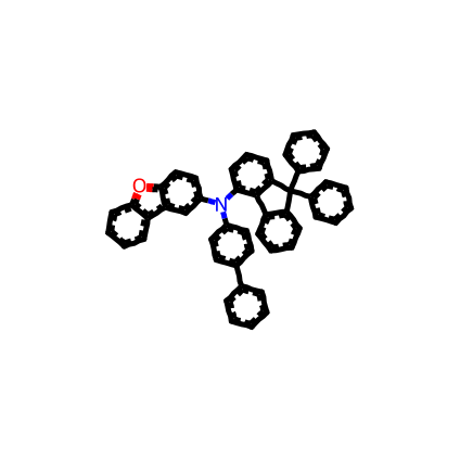 c1ccc(-c2ccc(N(c3ccc4oc5ccccc5c4c3)c3cccc4c3-c3ccccc3C4(c3ccccc3)c3ccccc3)cc2)cc1